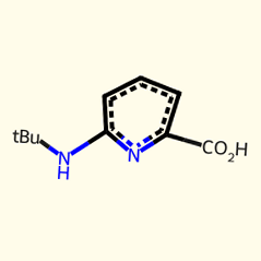 CC(C)(C)Nc1cccc(C(=O)O)n1